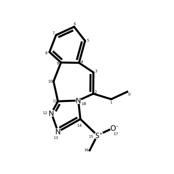 CCC1=Cc2ccccc2Cc2nnc([S+](C)[O-])n21